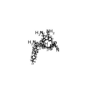 Cc1nc(C(F)(F)c2ccc(C(C)(C)C)cc2)nc(C)c1C(=O)NC(CCN)C(=O)N(C)C1C(=O)NC(C)C(=O)NC(C(=O)NCC#N)Cc2ccc(OCCN)c(c2)-c2cc1ccc2OCCN